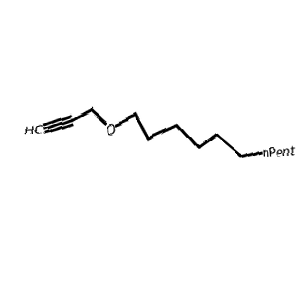 C#CCOCCCCCCCCCCC